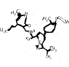 CCCc1cc(C)[nH]c(=O)c1CNC(=O)c1cc(-c2ccc(OC)c(C)c2)cc2c(C(C)C)ncn12